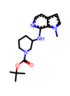 Cn1ccc2ccnc(NC3CCCN(C(=O)OC(C)(C)C)C3)c21